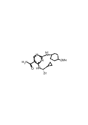 CC[C@H](Nc1nc(NC2CCC(OC)CC2)ncc1C(N)=O)C1CC1